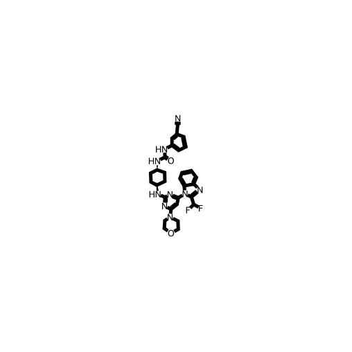 N#Cc1cccc(NC(=O)N[C@H]2CC[C@H](Nc3nc(N4CCOCC4)cc(-n4c(C(F)F)nc5ccccc54)n3)CC2)c1